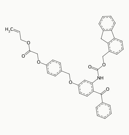 C=CCOC(=O)COc1ccc(COc2ccc(C(=O)c3ccccc3)c(NC(=O)OCc3cccc4c3Cc3ccccc3-4)c2)cc1